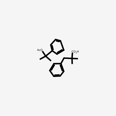 CC(=O)OC(C)(C)c1ccccc1.CC(C)(Cc1ccccc1)C(=O)O